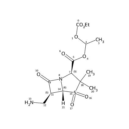 CCOC(=O)OC(C)OC(=O)[C@@H]1N2C(=O)[C@H](CN)[C@H]2S(=O)(=O)C1(C)C